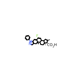 C[C@@H]1CC2C3C=C(F)C4=Cc5c(cnn5-c5ccccc5)CC4(C)C3CC[C@]2(C)C1C(=O)O